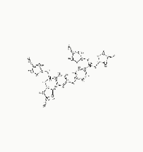 C=C1OCC(CN(CC2COC(=O)O2)c2ccc(Cc3ccc(N(CC4COC(=O)O4)CC4COC(=O)O4)cc3)cc2)O1